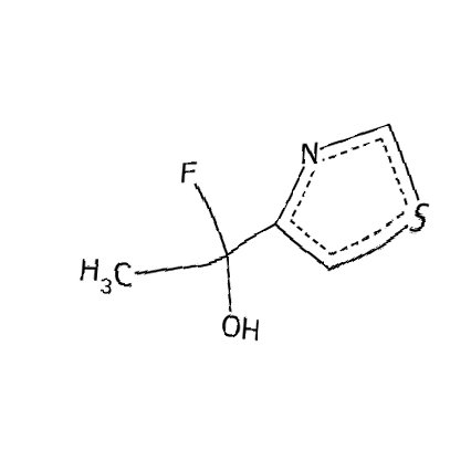 CC(O)(F)c1cscn1